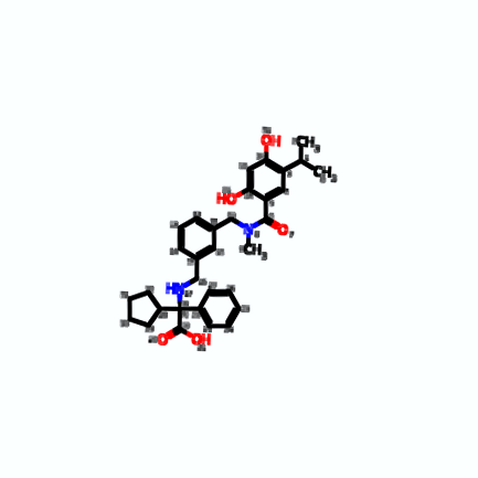 CC(C)c1cc(C(=O)N(C)Cc2cccc(CN[C@](C(=O)O)(c3ccccc3)C3CCCC3)c2)c(O)cc1O